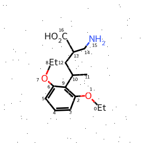 CCOc1cccc(OCC)c1C(C)CC(CN)C(=O)O